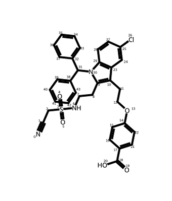 N#CCS(=O)(=O)NCCc1c(CCOc2ccc(C(=O)O)cc2)c2cc(Cl)ccc2n1C(c1ccccc1)c1ccccc1